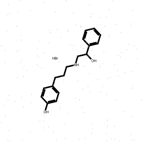 Br.Oc1ccc(CCCNCC(O)c2ccccc2)cc1